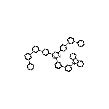 c1ccc(-c2cccc(-c3ccc(-c4cc(-c5ccc(-c6cccc(-c7cccc(-c8ccccc8)c7)c6)cc5)nc(-c5cccc(-c6cccc(-n7c8ccccc8c8ccccc87)c6)c5)n4)cc3)c2)cc1